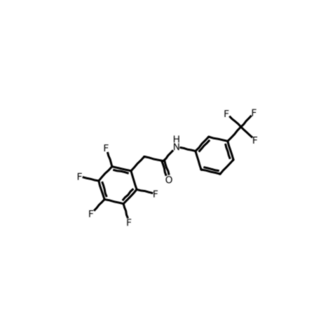 O=C(Cc1c(F)c(F)c(F)c(F)c1F)Nc1cccc(C(F)(F)F)c1